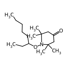 CCCCCC(CC)ON1C(C)(C)CC(=O)CC1(C)C